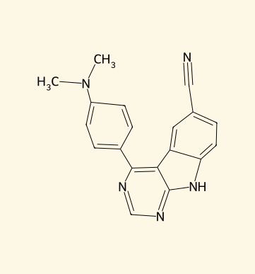 CN(C)c1ccc(-c2ncnc3[nH]c4ccc(C#N)cc4c23)cc1